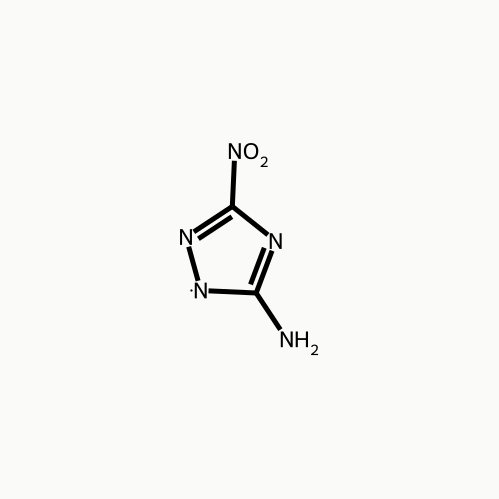 NC1=NC([N+](=O)[O-])=N[N]1